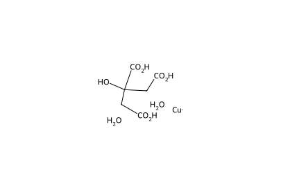 O.O.O=C(O)CC(O)(CC(=O)O)C(=O)O.[Cu]